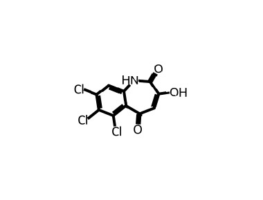 O=c1[nH]c2cc(Cl)c(Cl)c(Cl)c2c(=O)cc1O